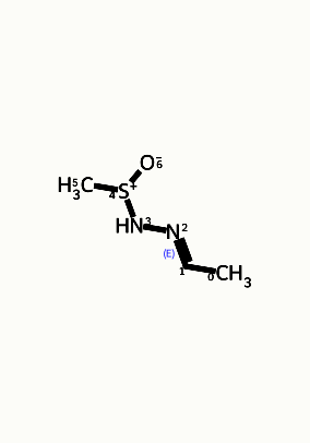 C/C=N/N[S+](C)[O-]